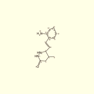 CC1CC(=O)NNC1/C=C/c1ccccc1N